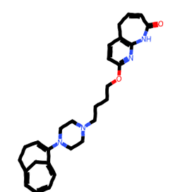 O=C1C=CCc2ccc(OCCCCN3CCN(C4=CCCC5=CC=CC=C4C5)CC3)nc2N1